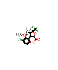 COc1c(Cl)cccc1C1C(C)C(C)(C(F)(F)F)O[C@H]1C(=O)O